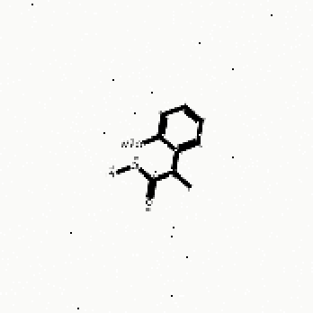 COc1ccccc1C(C)C(=O)OC(C)C